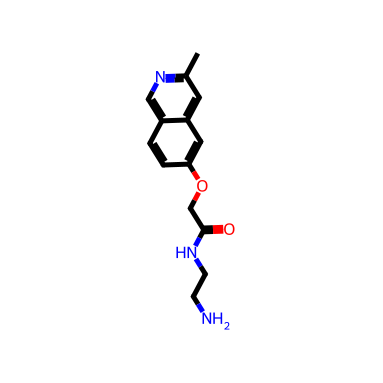 Cc1cc2cc(OCC(=O)NCCN)ccc2cn1